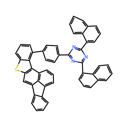 c1ccc2c(c1)-c1cccc3c1c-2cc1sc2cccc(-c4ccc(-c5nc(-c6cccc7ccccc67)nc(-c6cccc7ccccc67)n5)cc4)c2c13